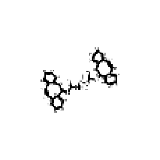 O=C(NBNC(=O)OC1Cc2ccccc2C#Cc2ccccc21)OC1Cc2ccccc2C#Cc2ccccc21